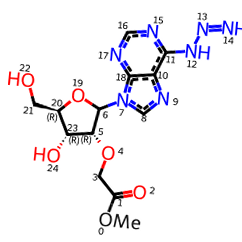 COC(=O)CO[C@H]1C(n2cnc3c(NN=N)ncnc32)O[C@H](CO)[C@H]1O